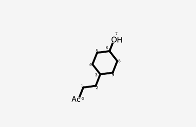 CC(=O)CCC1CCC(O)CC1